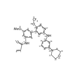 C=CC(=O)Nc1cc(OC)cc(-c2nc(Nc3cccc(N4CCOCC4)c3)ncc2OC(F)(F)F)c1